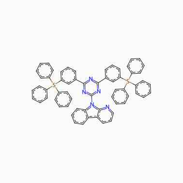 c1ccc(S(c2ccccc2)(c2ccccc2)c2cccc(-c3nc(-c4cccc(S(c5ccccc5)(c5ccccc5)c5ccccc5)c4)nc(-n4c5ccccc5c5cccnc54)n3)c2)cc1